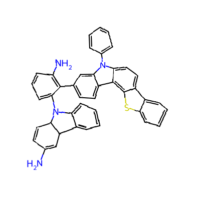 NC1=CC2c3ccccc3N(c3cccc(N)c3-c3ccc4c5c6sc7ccccc7c6ccc5n(-c5ccccc5)c4c3)C2C=C1